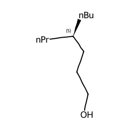 CCCC[C@H](CCC)CCCO